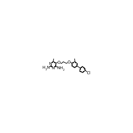 Cc1cc(-c2ccc(Cl)cc2)ccc1OCCCOc1c(C)nc(N)nc1N